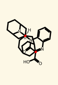 O=C(O)c1nc2ccccc2n(C2CC3CCCC(C2)N3[C@@H]2CCC3CCC(CC3)C2)c1=O